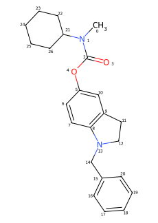 CN(C(=O)Oc1ccc2c(c1)CCN2Cc1ccccc1)C1CCCCC1